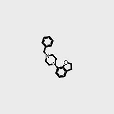 c1ccc(CN2CCN(c3cccc4c3OCC4)CC2)cc1